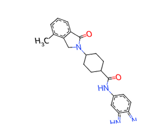 Cc1cccc2c1CN(C1CCC(C(=O)Nc3ccc4nc[nH]c4c3)CC1)C2=O